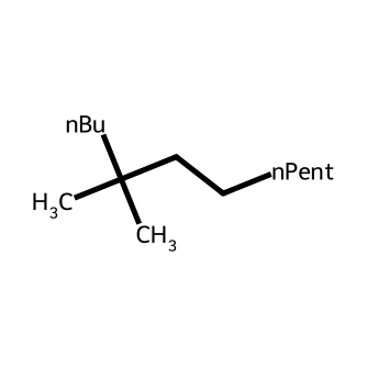 [CH2]CCCC(C)(C)CCCCCCC